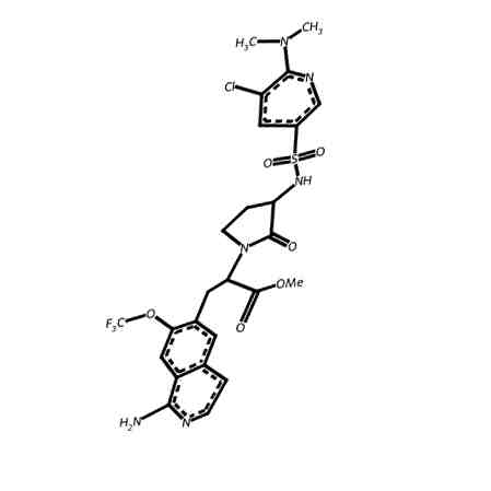 COC(=O)C(Cc1cc2ccnc(N)c2cc1OC(F)(F)F)N1CCC(NS(=O)(=O)c2cnc(N(C)C)c(Cl)c2)C1=O